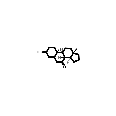 C[C@@]12CCC[C@H]1[C@@H]1C(=O)CC3CC(O)CC[C@]3(C)[C@@H]1CC2